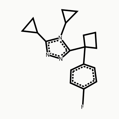 Fc1ccc(C2(c3nnc(C4CC4)n3C3CC3)CCC2)cc1